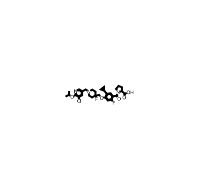 CC(C)Oc1ncc(CN2CCC(F)(COc3cc(F)c(C(=O)N4CCCC4C(=O)O)cc3C3CC3)CC2)cc1Cl